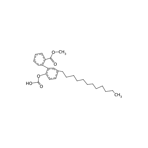 CCCCCCCCCCCCc1ccc(OC(=O)O)c(-c2ccccc2C(=O)OC)c1